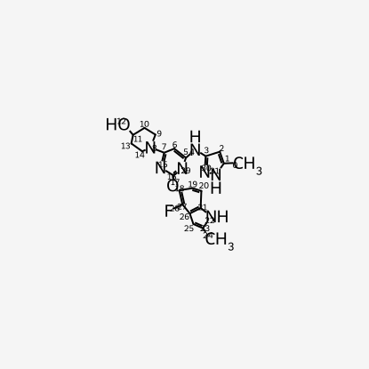 Cc1cc(Nc2cc(N3CCC(O)CC3)nc(Oc3ccc4[nH]c(C)cc4c3F)n2)n[nH]1